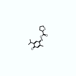 CC1=CC(=O)C(C(C)C)=CC1=NOC(=O)C1CCCS1